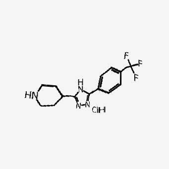 Cl.FC(F)(F)c1ccc(-c2nnc(C3CCNCC3)[nH]2)cc1